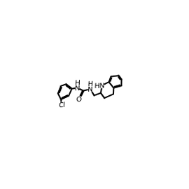 O=C(NCC1CCc2ccccc2N1)Nc1cccc(Cl)c1